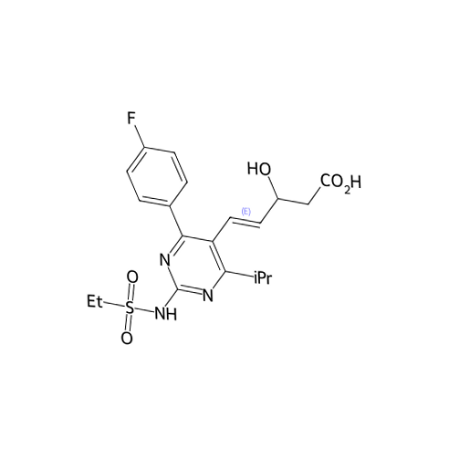 CCS(=O)(=O)Nc1nc(-c2ccc(F)cc2)c(/C=C/C(O)CC(=O)O)c(C(C)C)n1